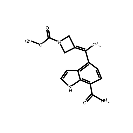 CC(=C1CN(C(=O)OC(C)(C)C)C1)c1ccc(C(N)=O)c2[nH]ccc12